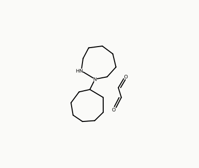 C1CCCC(N2CCCCCCN2)CCC1.O=CC=O